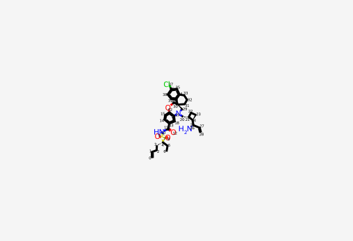 C=CCC[C@@H](CC)S(=O)(=O)NC(=O)c1ccc2c(c1)N(C[C@@H]1CC[C@H]1[C@@H](N)C=C)C[C@@]1(CCCc3cc(Cl)ccc31)CO2